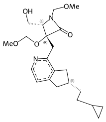 COCO[C@@]1(Cc2nccc3c2C[C@H](CCC2CC2)C3)C(=O)N(COC)[C@H]1CO